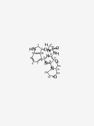 CC1CNc2cccc(-c3nc(NS(C)(=O)=O)c4c(n3)N3CCOCC3CO4)c21